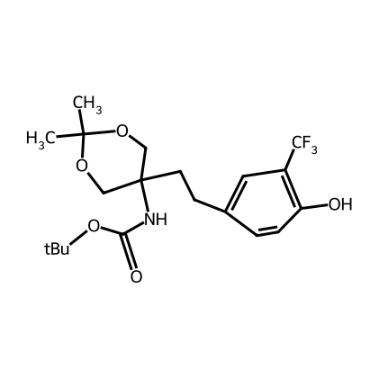 CC(C)(C)OC(=O)NC1(CCc2ccc(O)c(C(F)(F)F)c2)COC(C)(C)OC1